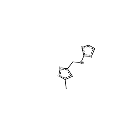 Cc1cc(CNc2nccs2)no1